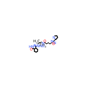 CC(C)(CNC(=O)CCCc1nc(-c2ccccn2)no1)CNc1n[nH]c(=O)c2ccccc12